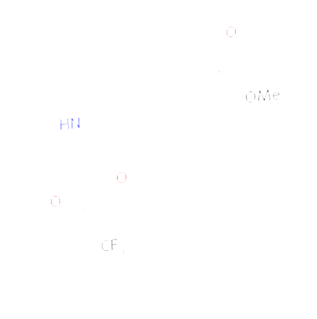 COC(=O)C1CC2(CNC2OC(=O)C(F)(F)F)C1